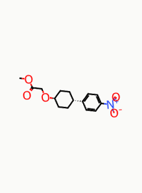 COC(=O)CO[C@H]1CC[C@H](c2ccc([N+](=O)[O-])cc2)CC1